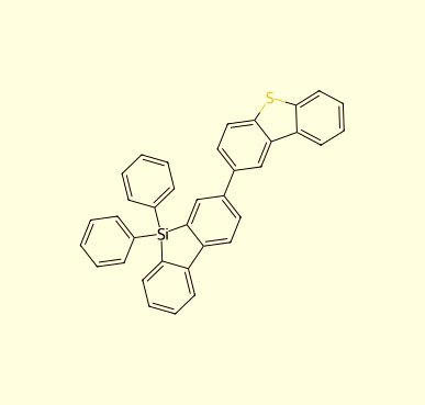 c1ccc([Si]2(c3ccccc3)c3ccccc3-c3ccc(-c4ccc5sc6ccccc6c5c4)cc32)cc1